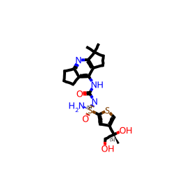 CC1(C)CCc2c1nc1c(c2NC(=O)N=[S@](N)(=O)c2cc([C@](C)(O)CO)cs2)CCC1